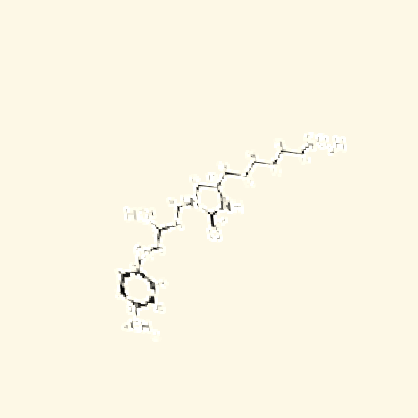 Cc1ccc(OCC(O)CCN2CC(CCCCCCC(=O)O)NC2=O)cc1